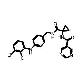 O=C(NC1(C(=O)NCc2ccc(Nc3cccc(Cl)c3Cl)cc2)CC1)c1cncnc1